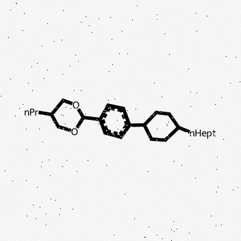 CCCCCCCC1CCC(c2ccc(C3OCC(CCC)CO3)cc2)CC1